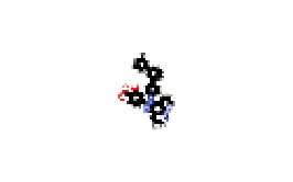 O=C(O)c1ccc(-c2nc3c4cccnc4c4ncccc4c3n2-c2ccc(-c3cccc(-c4ccccc4)c3)cc2)cc1